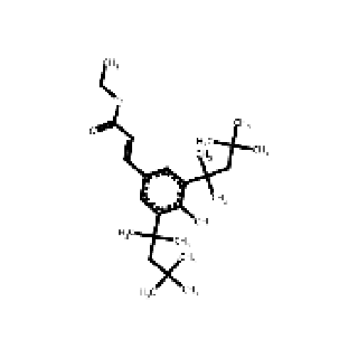 CCOC(=O)/C=C/c1cc(C(C)(C)CC(C)(C)C)c(O)c(C(C)(C)CC(C)(C)C)c1